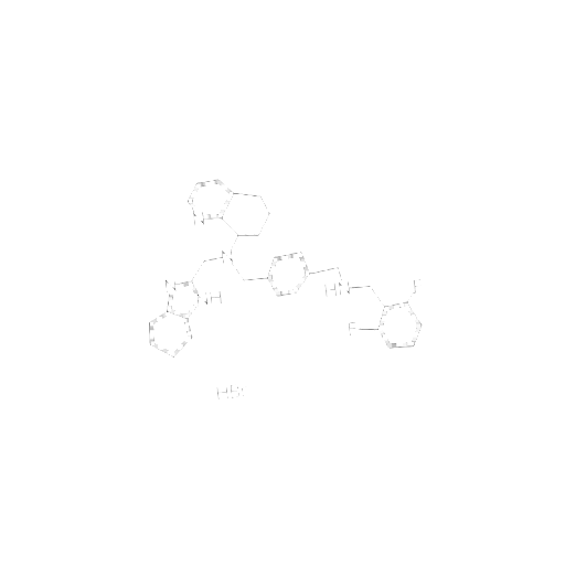 Br.Fc1cccc(F)c1CNCc1ccc(CN(Cc2nc3ccccc3[nH]2)C2CCCc3cccnc32)cc1